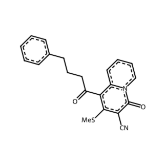 CSc1c(C#N)c(=O)n2ccccc2c1C(=O)CCCc1ccccc1